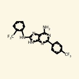 Nc1nc(-c2ccc(C(F)(F)F)cc2)nc2[nH]c(Nc3ccccc3C(F)(F)F)nc12